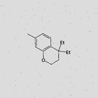 CCC1(CC)CCOc2cc(C)ccc21